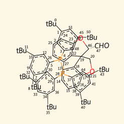 CC(C)(C)c1cc(P(c2cc(C(C)(C)C)cc(C(C)(C)C)c2)c2cccc3c2C2(CO3)c3c(cccc3P(c3cc(C(C)(C)C)cc(C(C)(C)C)c3)c3cc(C(C)(C)C)cc(C(C)(C)C)c3)O[C@@H]2C=O)cc(C(C)(C)C)c1